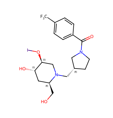 O=C(c1ccc(C(F)(F)F)cc1)N1CC[C@H](CN2C[C@H](OI)[C@@H](O)C[C@@H]2CO)C1